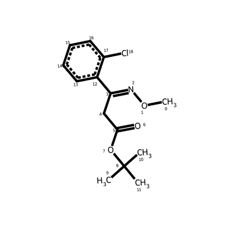 CON=C(CC(=O)OC(C)(C)C)c1c[c]ccc1Cl